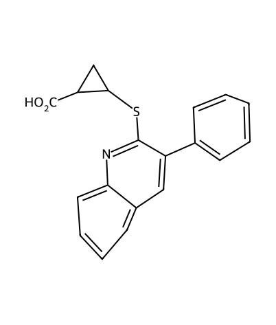 O=C(O)C1CC1Sc1nc2ccccc2cc1-c1ccccc1